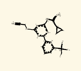 C#CCNc1nc(NC(=C)C2CC2)nc(-c2cccc(C(F)(F)F)n2)n1